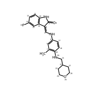 Cc1cc(NC=C2C(=O)Nc3ccc(F)cc32)ccc1NCC1CCOCC1